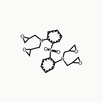 O=S(=O)(c1ccccc1N(CC1CO1)CC1CO1)c1ccccc1N(CC1CO1)CC1CO1